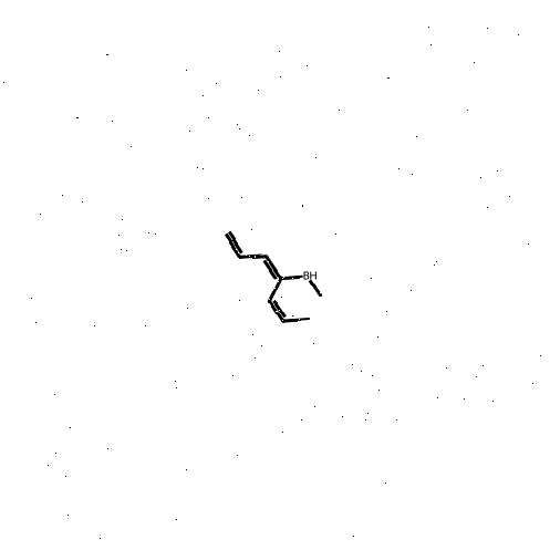 C=C/C=C(BC)\C=C/C